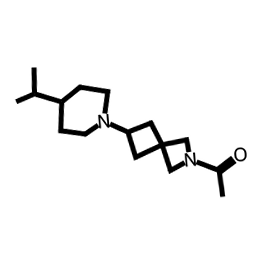 CC(=O)N1CC2(CC(N3CCC(C(C)C)CC3)C2)C1